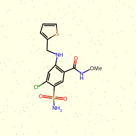 CONC(=O)c1cc(S(N)(=O)=O)c(Cl)cc1NCc1cccs1